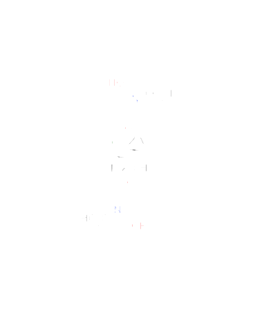 Cc1c(OCCCN2CC(O)CC2C(=O)O)cccc1-c1cccc(OCCCN2CC(O)CC2C(=O)O)c1Cl